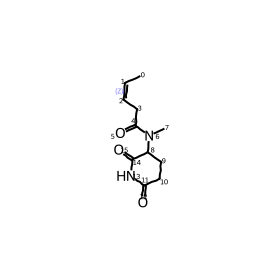 C/C=C\CC(=O)N(C)C1CCC(=O)NC1=O